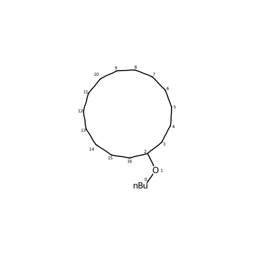 CCCCOC1CCCCCCCCCCCCCC1